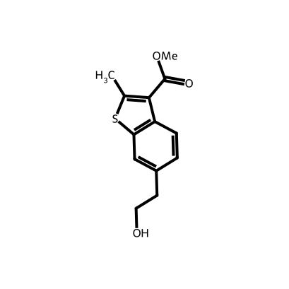 COC(=O)c1c(C)sc2cc(CCO)ccc12